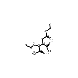 CCOC(=O)CC(C(=O)O)C(OCC)C(=O)O